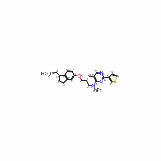 CCCN(CCCOc1ccc2c(c1)CC[C@H]2CC(=O)O)c1nc(-c2ccsc2)ncc1C